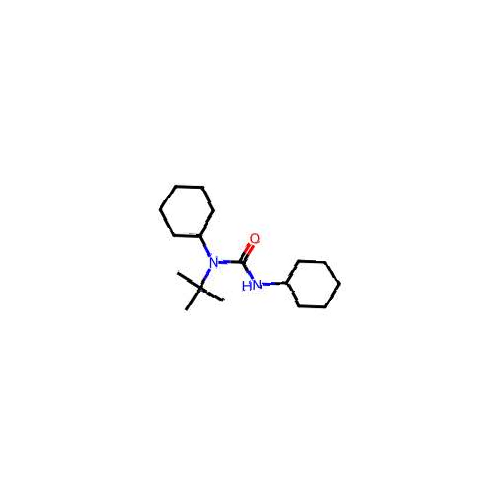 CC(C)(C)N(C(=O)NC1CCCCC1)C1CCCCC1